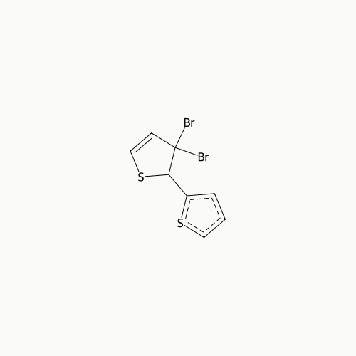 BrC1(Br)C=CSC1c1cccs1